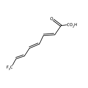 O=C(O)C(=O)/C=C/C=C/C=C/C(F)(F)F